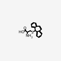 NC(CSC1c2ccccc2C=Cc2ccccc21)C(=O)O